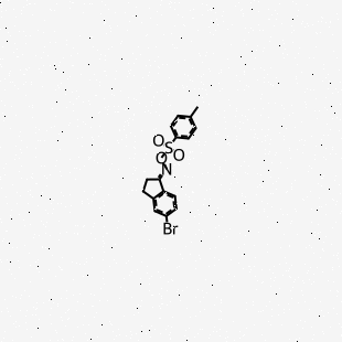 Cc1ccc(S(=O)(=O)ON=C2CCc3cc(Br)ccc32)cc1